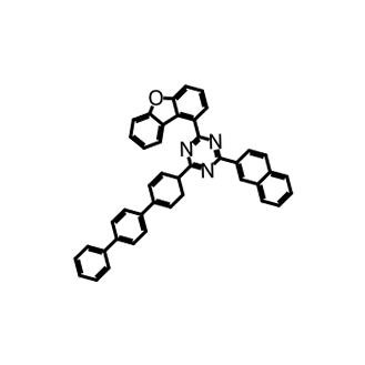 C1=CC(c2nc(-c3ccc4ccccc4c3)nc(-c3cccc4oc5ccccc5c34)n2)CC=C1c1ccc(-c2ccccc2)cc1